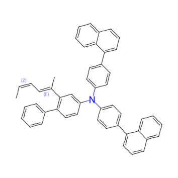 C/C=C\C=C(/C)c1cc(N(c2ccc(-c3cccc4ccccc34)cc2)c2ccc(-c3cccc4ccccc34)cc2)ccc1-c1ccccc1